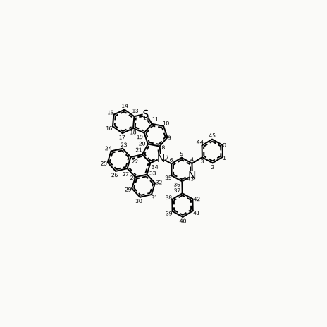 c1ccc(-c2cc(-n3c4ccc5sc6ccccc6c5c4c4c5ccccc5c5ccccc5c43)cc(-c3ccccc3)n2)cc1